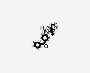 CC1(C(=O)Nc2ccc(C(=O)c3ccccc3)cc2)CC=NN1